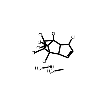 C[SiH2]N[SiH3].ClC1=C(Cl)C2(Cl)C3C(Cl)C=CC3C1(Cl)C2(Cl)Cl